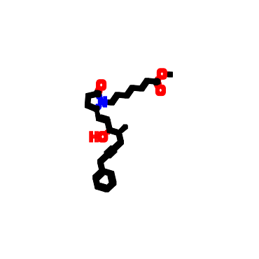 COC(=O)CCCCCCN1C(=O)CC[C@@H]1C=C[C@H](O)[C@@H](C)CC#CCc1ccccc1